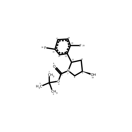 CC(C)(C)OC(=O)N1C[C@H](O)CC1c1cc(F)ccc1F